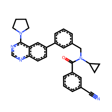 N#Cc1cccc(C(=O)N(Cc2cccc(-c3ccc4ncnc(N5CCCC5)c4c3)c2)C2CC2)c1